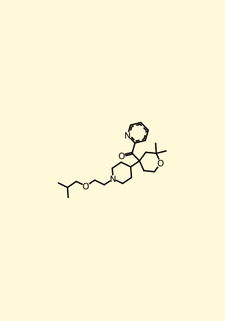 CC(C)COCCN1CCC(C2(C(=O)c3ccccn3)CCOC(C)(C)C2)CC1